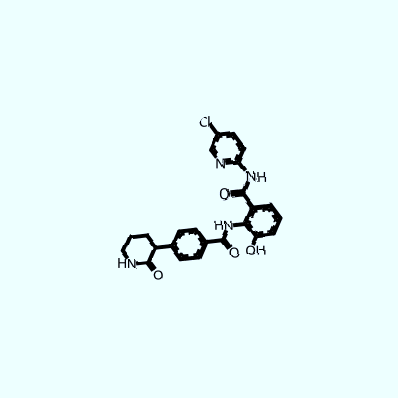 O=C(Nc1c(O)cccc1C(=O)Nc1ccc(Cl)cn1)c1ccc(C2CCCNC2=O)cc1